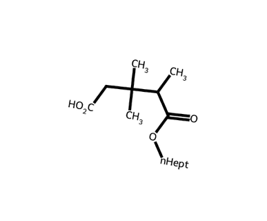 CCCCCCCOC(=O)C(C)C(C)(C)CC(=O)O